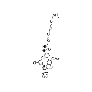 COc1cc2c(cc1-c1ccc(NC(=O)NCCOCCOCCOCCOCCN)cc1)-c1c(c(C(=O)N(C)C(C)(C)C)nn1-c1cc(Cl)cc(Cl)c1)CO2